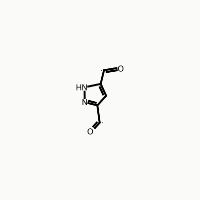 O=[C]c1cc([C]=O)[nH]n1